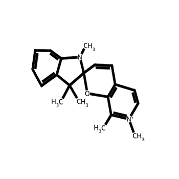 Cc1c2c(cc[n+]1C)C=CC1(O2)N(C)c2ccccc2C1(C)C